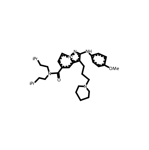 COc1ccc(Nc2nn3ccc(C(=O)N(CCC(C)C)CCC(C)C)cc3c2CCCN2CCCCC2)cc1